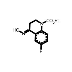 CCOC(=O)N1CCC(=NO)c2cc(F)ccc21